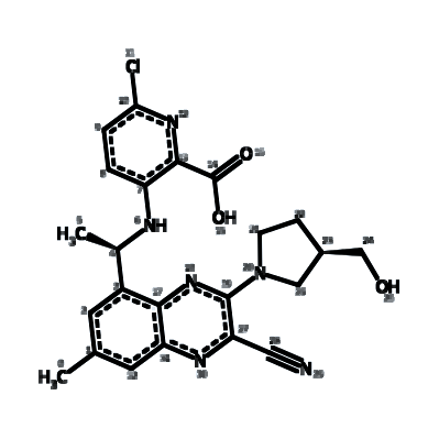 Cc1cc([C@@H](C)Nc2ccc(Cl)nc2C(=O)O)c2nc(N3CC[C@@H](CO)C3)c(C#N)nc2c1